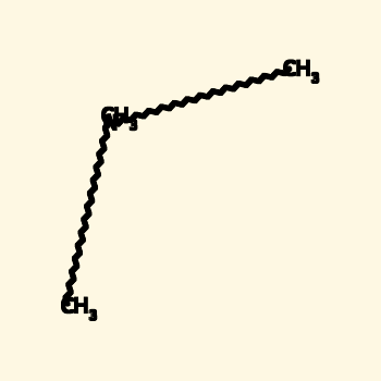 CCCCCCCCCCCCCCCCCCCCCCCCCCCCN(C)CCCCCCCCCCCCCCCCCCCCCCCCCCCC